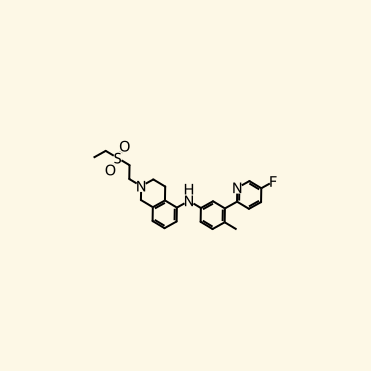 CCS(=O)(=O)CCN1CCc2c(cccc2Nc2ccc(C)c(-c3ccc(F)cn3)c2)C1